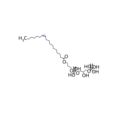 CCCCCC/C=C\CCCCCCCCCC(=O)OCCCO[PH](O)(O)OCC(O)CO[PH](O)(O)O